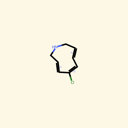 ClC1=C/C=C/CNC\C=C\1